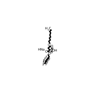 CCCCCCCCCCOC(=O)CC(C(=O)OCCC(F)(F)C(F)(F)C(F)(F)C(F)(F)F)S(=O)(=O)O.[NaH]